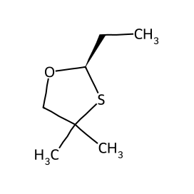 CC[C@@H]1OCC(C)(C)S1